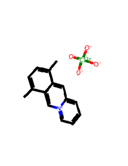 Cc1ccc(C)c2c[n+]3ccccc3cc12.[O-][Cl+3]([O-])([O-])[O-]